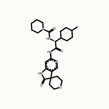 CC1CCC([C@H](NC(=O)N2CCCCC2)C(=O)Nc2cc3c(cn2)C2(CCOCC2)C(=O)N3)CC1